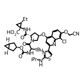 CC[C@@H]1C[C@]1(NC(=O)[C@@H]1C[C@@H](Oc2cc(-c3csc(NC(C)C)n3)nc3c(Cl)c(OCC#N)ccc23)CN1C(=O)C(NC(=O)O[C@@H]1C[C@@H]2C[C@@H]2C1)C(C)(C)C)C(=O)O